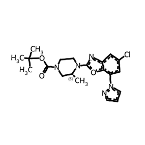 C[C@H]1CN(C(=O)OC(C)(C)C)CCN1c1nc2cc(Cl)cc(-n3cccn3)c2o1